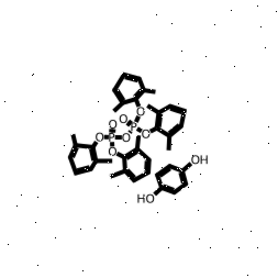 Cc1cccc(C)c1OP(=O)(Oc1c(C)cccc1C)OP(=O)(Oc1c(C)cccc1C)Oc1c(C)cccc1C.Oc1ccc(O)cc1